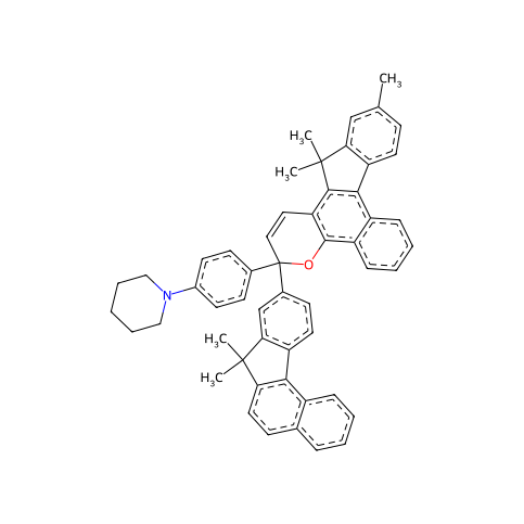 Cc1ccc2c(c1)C(C)(C)c1c3c(c4ccccc4c1-2)OC(c1ccc(N2CCCCC2)cc1)(c1ccc2c(c1)C(C)(C)c1ccc4ccccc4c1-2)C=C3